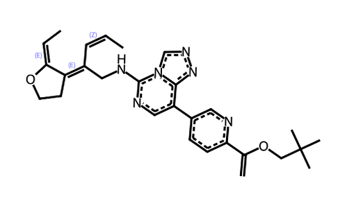 C=C(OCC(C)(C)C)c1ccc(-c2cnc(NCC(/C=C\C)=C3\CCO\C3=C\C)n3cnnc23)cn1